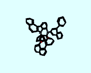 c1ccc(-c2cc(N(c3ccc(-c4cccc5cccc(-c6ccccc6)c45)cc3)c3cccc4c5c6ccccc6ccc5n(-c5ccccc5)c34)cc3ccccc23)cc1